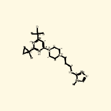 Cn1cnnc1SCCCN1CCN(c2cc(C(C)(C)C)nc(C3(C)CC3)n2)CC1